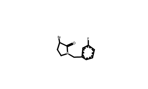 O=C1C(Br)CCN1Cc1cccc(F)c1